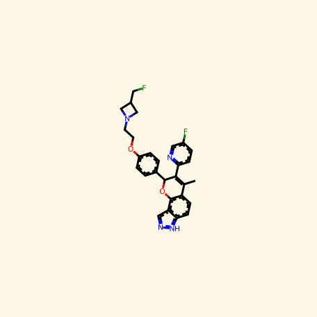 CC1=C(c2ccc(F)cn2)C(c2ccc(OCCN3CC(CF)C3)cc2)Oc2c1ccc1[nH]ncc21